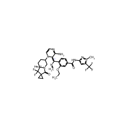 C=N/C(=C1/C(N)=NC=CN1C1CC[C@@H]2N(C1)C(=O)C1(CC1)C2(F)F)c1ccc(C(=O)Nc2cc(C(F)(F)F)n(C)n2)cc1OCC